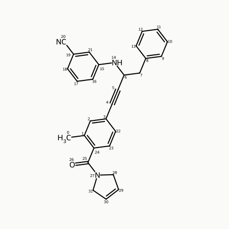 Cc1cc(C#CC(Cc2ccccc2)Nc2cccc(C#N)c2)ccc1C(=O)N1CC=CC1